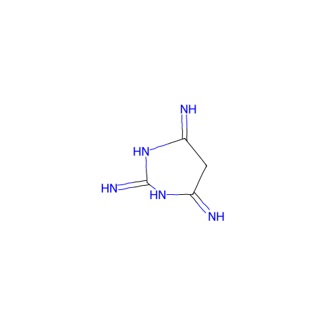 N=C1CC(=N)NC(=N)N1